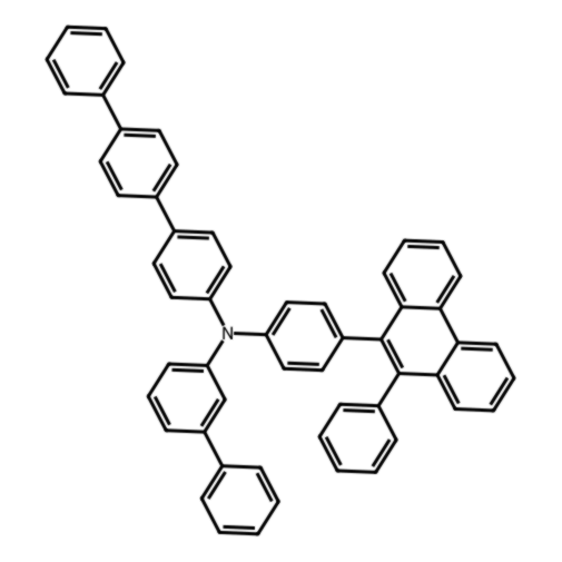 c1ccc(-c2ccc(-c3ccc(N(c4ccc(-c5c(-c6ccccc6)c6ccccc6c6ccccc56)cc4)c4cccc(-c5ccccc5)c4)cc3)cc2)cc1